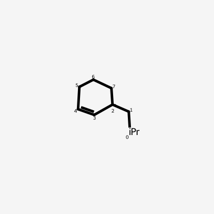 CC(C)C[C]1C=CCCC1